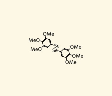 COc1cc([Se][Se]c2cc(OC)c(OC)c(OC)c2)cc(OC)c1OC